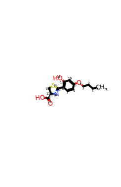 CCCCOc1ccc(C2=N[C@@H](C(=O)O)CS2)c(O)c1